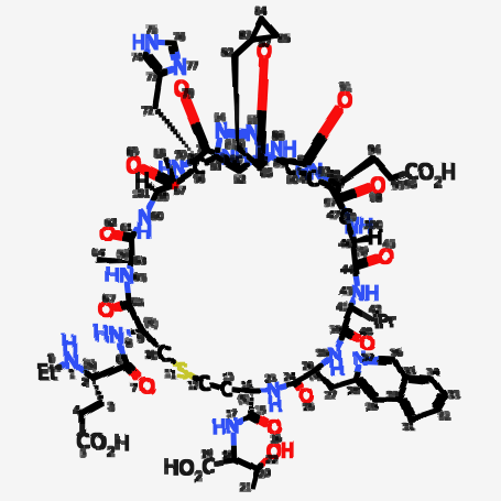 CCN[C@@H](CCC(=O)O)C(=O)N[C@H]1CSCC[C@@H](C(=O)NC(C(=O)O)C(C)O)NC(=O)[C@H](Cc2cc3ccccc3cn2)NC(=O)C(C(C)C)NC(=O)[C@@H]2CCCCn3cc(nn3)CC(C)[C@H](NC(=O)[C@H](C)NC1=O)C(=O)N[C@@H](Cc1c[nH]cn1)C(=O)N[C@@H](CC1CC1)C(=O)NCC(=O)N[C@@H](CCC(=O)O)C(=O)N2